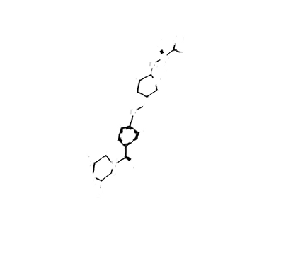 CC(C)S(=O)(=O)N[C@H]1CC[C@H](CNc2ccc(C(=O)N3C[C@@H](C)O[C@@H](C)C3)cc2)CC1